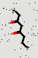 CC(=O)CC(=O)CC(=O)CCC(C)C